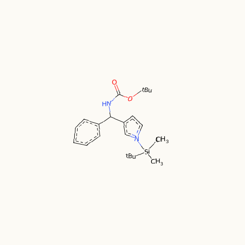 CC(C)(C)OC(=O)NC(c1ccccc1)c1ccn([Si](C)(C)C(C)(C)C)c1